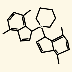 Cc1ccc(C)c2c1C=CC2[Si]1(C2C=Cc3c(C)ccc(C)c32)CCCCC1